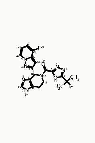 CC(C)(F)c1nnc(C(=O)N2CCc3[nH]cnc3[C@@H]2c2cc3c(F)cccn3n2)o1